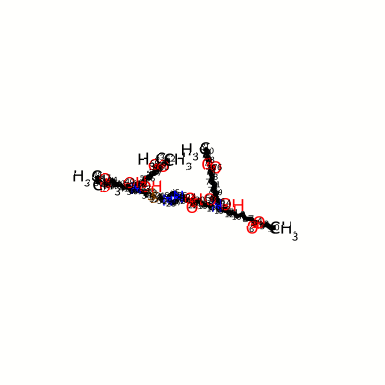 CCCCOC(=O)CCCCCCC(O)CN(CCCCC(=O)OCCN1CCN(CCSSCCCN(CC(O)CCCCC(=O)OC(C)C)CC(O)CCCCC(=O)OC(C)C)CC1)CC(O)CCCCCCC(=O)OCCCC